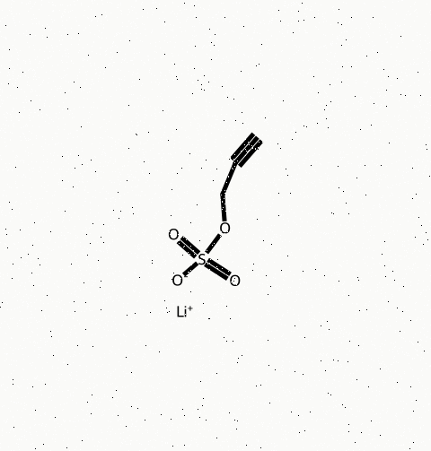 C#CCOS(=O)(=O)[O-].[Li+]